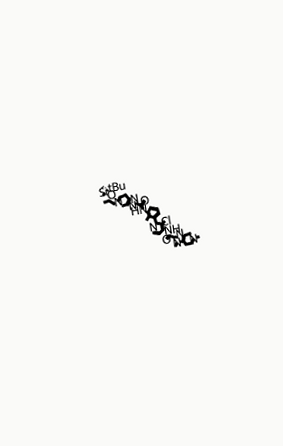 Cc1c(NC(=O)c2nc3c(n2C)CCN(CC(C)O[Si](C)(C)C(C)(C)C)C3)cccc1-c1nccc(NC(=O)c2nc3c(n2C)CCN(C)C3)c1Cl